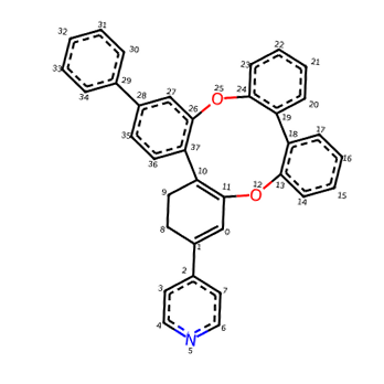 C1=C(c2ccncc2)CCC2=C1Oc1ccccc1-c1ccccc1Oc1cc(-c3ccccc3)ccc12